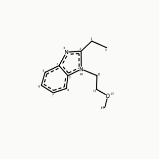 CCc1nc2ccccc2n1CCOC